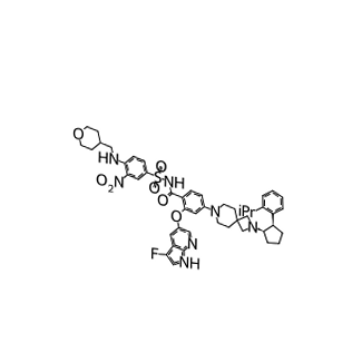 CC(C)c1ccccc1[C@H]1CCC[C@H]1N1CC2(CCN(c3ccc(C(=O)NS(=O)(=O)c4ccc(NCC5CCOCC5)c([N+](=O)[O-])c4)c(Oc4cnc5[nH]cc(F)c5c4)c3)CC2)C1